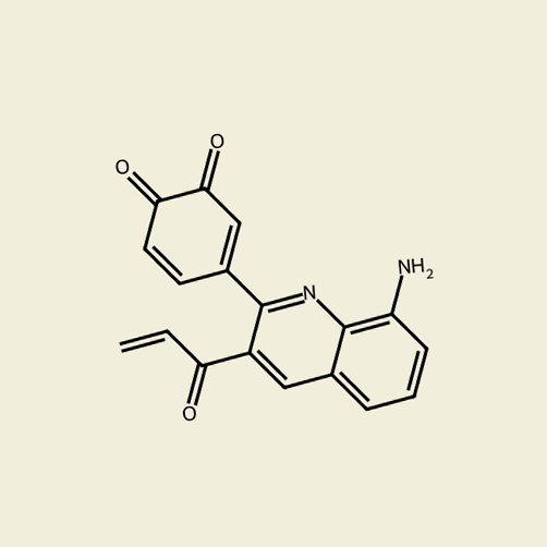 C=CC(=O)c1cc2cccc(N)c2nc1C1=CC(=O)C(=O)C=C1